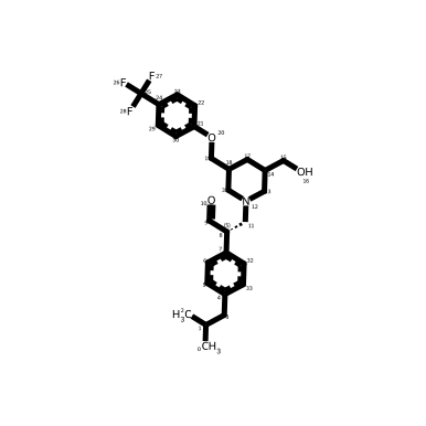 CC(C)Cc1ccc([C@H](C=O)CN2CC(CO)CC(COc3ccc(C(F)(F)F)cc3)C2)cc1